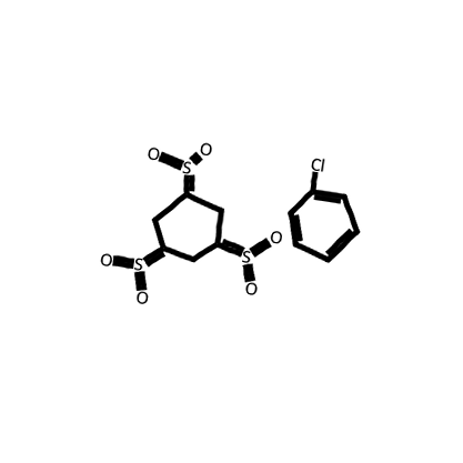 Clc1ccccc1.O=S(=O)=C1CC(=S(=O)=O)CC(=S(=O)=O)C1